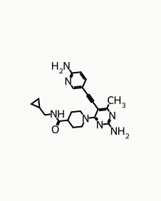 Cc1nc(N)nc(N2CCC(C(=O)NCC3CC3)CC2)c1C#Cc1ccc(N)nc1